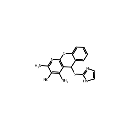 N#Cc1c(N)nc2c(c1N)C(Sc1ncc[nH]1)c1ccccc1O2